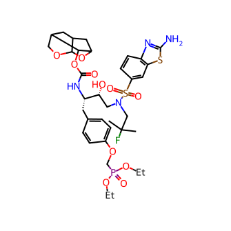 CCOP(=O)(COc1ccc(C[C@H](NC(=O)OC2C3COC4OC2CC4C3)[C@H](O)CN(CC(C)(C)F)S(=O)(=O)c2ccc3nc(N)sc3c2)cc1)OCC